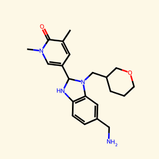 Cc1cc(C2Nc3ccc(CN)cc3N2CC2CCCOC2)cn(C)c1=O